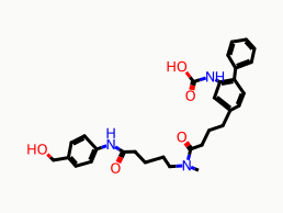 CN(CCCCC(=O)Nc1ccc(CO)cc1)C(=O)CCCc1ccc(-c2ccccc2)c(NC(=O)O)c1